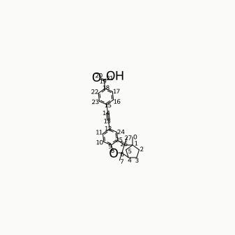 CC12CCC(C1)C1(C)Oc3ccc(C#Cc4ccc(C(=O)O)cc4)cc3C21C